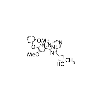 COc1cc(C2=NC(C3CC(C)(O)C3)=C3C=NC=C[N+]23N)cc(OC)c1Oc1ccccc1